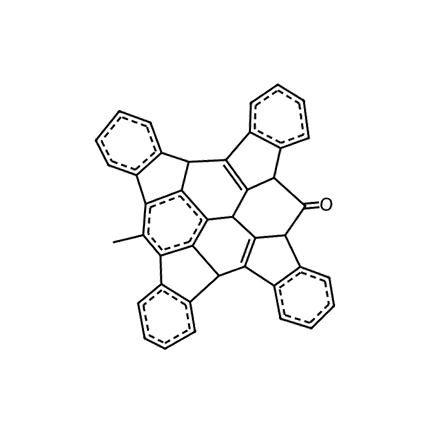 Cc1c2c3c4c5c1-c1ccccc1C5C1=C5C(C(=O)C6C(=C(c7ccccc76)C3c3ccccc3-2)C54)c2ccccc21